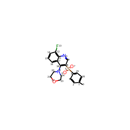 Cc1ccc(S(=O)(=O)c2cnc3c(F)cccc3c2N2CCOCC2)cc1